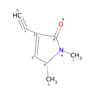 C#CC1=C[C@@H](C)N(C)C1=O